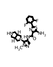 Cn1ncc(NC(=O)c2nc(-c3c(F)cccc3F)sc2N)c1N1C[C@H]2CNC[C@H]2C1